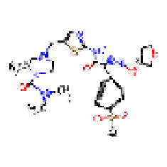 C[C@H]1CN(Cc2cnc(NC(=O)/C(=N/O[C@@H]3CCOC3)c3ccc(S(=O)(=O)C4CC4)cc3)s2)CCN1C(=O)N(C)C